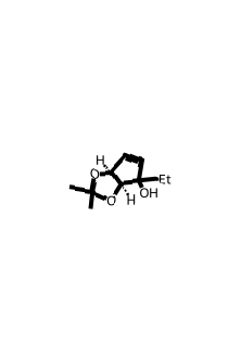 CCC1(O)C=C[C@@H]2OC(C)(C)O[C@@H]21